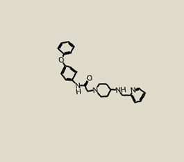 O=C(CN1CCC(NCc2ccccn2)CC1)Nc1ccc(Oc2ccccc2)cc1